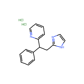 Cl.Cl.c1ccc(C(Cc2ncc[nH]2)c2ccccn2)cc1